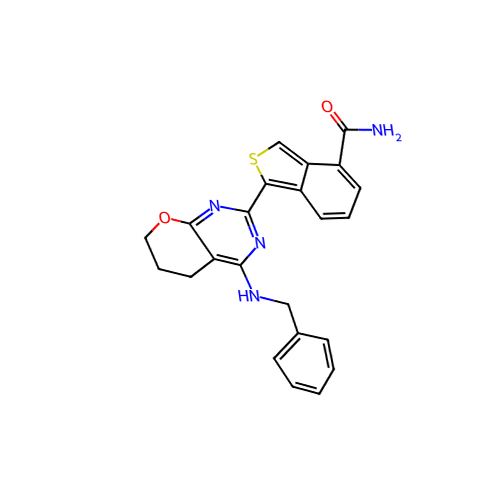 NC(=O)c1cccc2c(-c3nc(NCc4ccccc4)c4c(n3)OCCC4)scc12